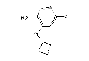 Nc1cnc(Cl)cc1NC1CCC1